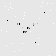 [Bi+3].[Bi].[Br-].[Br-].[Br-]